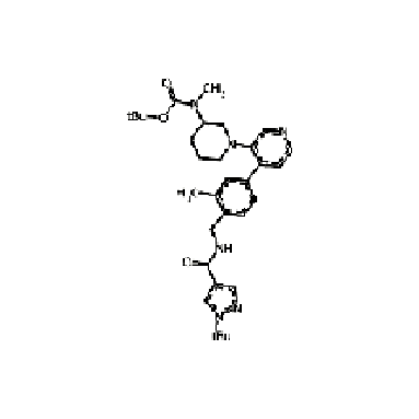 Cc1cc(-c2ccncc2N2CCCC(N(C)C(=O)OC(C)(C)C)C2)ccc1CNC(=O)c1cnn(C(C)(C)C)c1